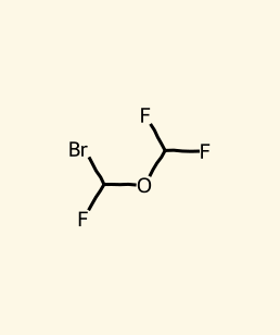 FC(F)OC(F)Br